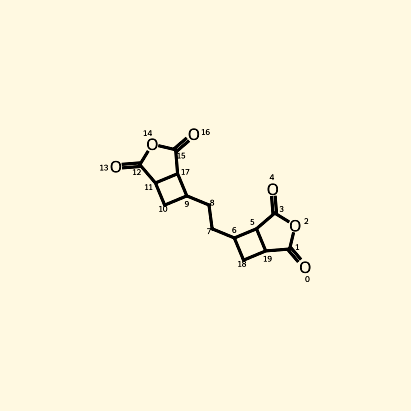 O=C1OC(=O)C2C(CCC3CC4C(=O)OC(=O)C34)CC12